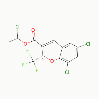 CC(Cl)OC(=O)C1=Cc2cc(Cl)cc(Cl)c2O[C@@H]1C(F)(F)F